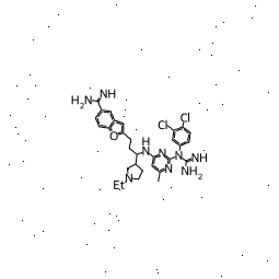 CCN1CCC(C(CCc2cc3cc(C(=N)N)ccc3o2)Nc2cc(C)nc(N(C(=N)N)c3ccc(Cl)c(Cl)c3)n2)C1